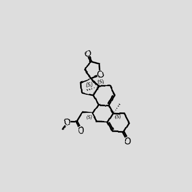 COC(=O)C[C@@H]1CC2=CC(=O)CC[C@]2(C)C2=CC[C@@]3(C)C(CC[C@]34CC(=O)CO4)C21